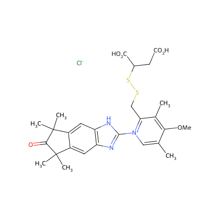 COc1c(C)c[n+](-c2nc3cc4c(cc3[nH]2)C(C)(C)C(=O)C4(C)C)c(CSSC(CC(=O)O)C(=O)O)c1C.[Cl-]